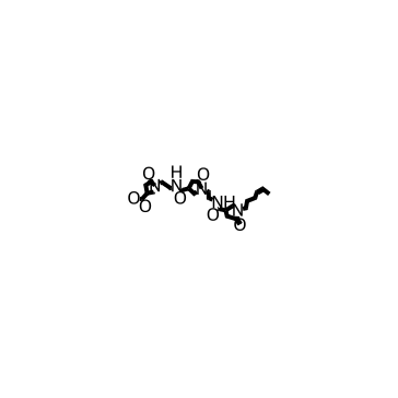 C/C=C\CCCN1CC(C(=O)NCCN2CC(C(=O)NCCN3CC(C(=O)OC)CC3=O)CC2=O)CC1=O